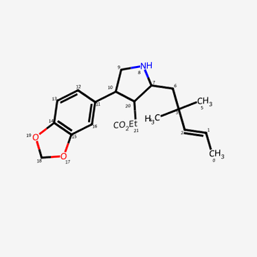 C/C=C/C(C)(C)CC1NCC(c2ccc3c(c2)OCO3)C1C(=O)OCC